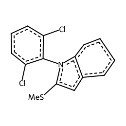 CSc1cc2ccccc2n1-c1c(Cl)cccc1Cl